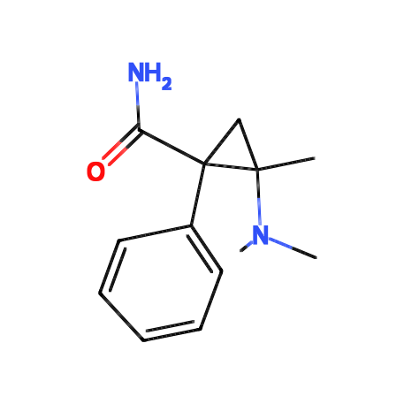 CN(C)C1(C)CC1(C(N)=O)c1ccccc1